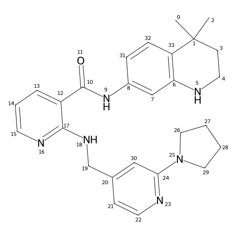 CC1(C)CCNc2cc(NC(=O)c3cccnc3NCc3ccnc(N4CCCC4)c3)ccc21